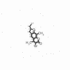 Cc1c(Br)c(=O)oc2c(C)c3c(cc12)CC(CI)O3